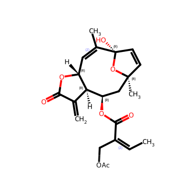 C=C1C(=O)O[C@@H]2/C=C(/C)[C@@]3(O)C=C[C@@](C)(C[C@@H](OC(=O)/C(=C\C)COC(C)=O)[C@@H]12)O3